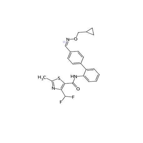 Cc1nc(C(F)F)c(C(=O)Nc2ccccc2-c2ccc(/C=N\OCC3CC3)cc2)s1